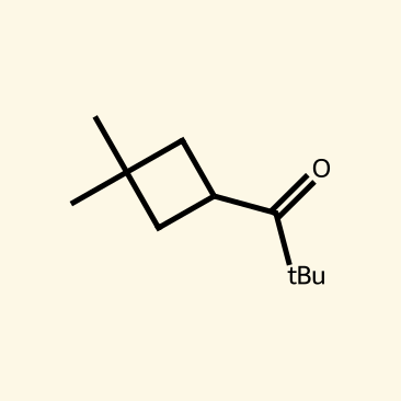 CC1(C)CC(C(=O)C(C)(C)C)C1